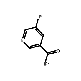 CC(C)C(=O)c1cncc(C(C)C)c1